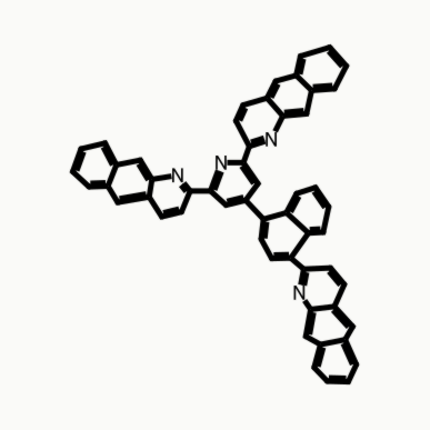 c1ccc2cc3nc(-c4cc(-c5ccc(-c6ccc7cc8ccccc8cc7n6)c6ccccc56)cc(-c5ccc6cc7ccccc7cc6n5)n4)ccc3cc2c1